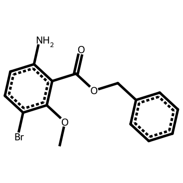 COc1c(Br)ccc(N)c1C(=O)OCc1ccccc1